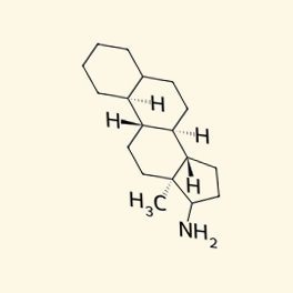 C[C@]12CC[C@H]3[C@@H](CCC4CCCC[C@@H]43)[C@@H]1CCC2N